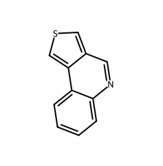 c1ccc2c(c1)ncc1cscc12